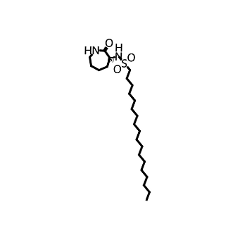 CCCCCCCCCCCCCCCCCCS(=O)(=O)N[C@H]1CCCCNC1=O